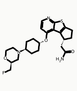 NC(=O)C[C@H]1CCc2sc3nccc(O[C@H]4CC[C@H](N5CCO[C@H](CF)C5)CC4)c3c21